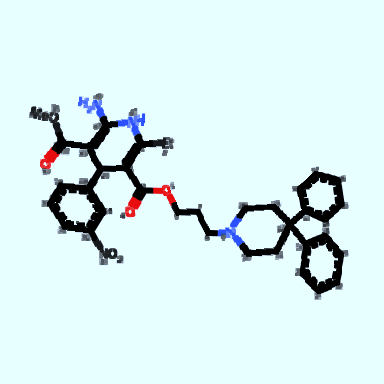 CCC1=C(C(=O)OCCCN2CCC(c3ccccc3)(c3ccccc3)CC2)C(c2cccc([N+](=O)[O-])c2)C(C(=O)OC)=C(N)N1